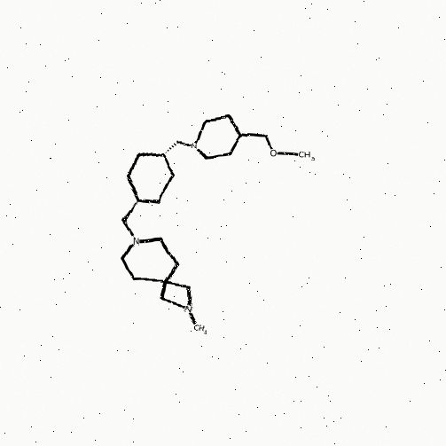 COCC1CCN(C[C@H]2CC[C@H](CN3CCC4(CC3)CN(C)C4)CC2)CC1